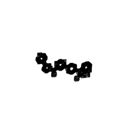 O=C(c1cc(N2CCC(n3c(=O)[nH]c4ncccc43)CC2)ncn1)N1CCC(c2ccncc2)C1